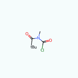 CN(C(=O)Cl)C(=O)C(C)(C)C